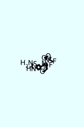 C[C@H](Nc1ccc2c(c1)OCCn1cc(N3C(=O)OCC3C(F)F)nc1-2)C(N)=S